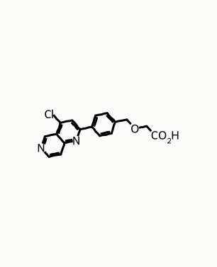 O=C(O)COCc1ccc(-c2cc(Cl)c3cnccc3n2)cc1